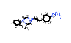 Cc1ccccc1N1CCN(CCC2CCC(N)CC2)CC1